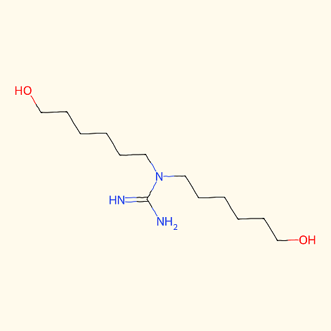 N=C(N)N(CCCCCCO)CCCCCCO